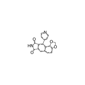 O=C1NC(=O)c2c1cc1ccc3c(c1c2-c1ccncc1)OCO3